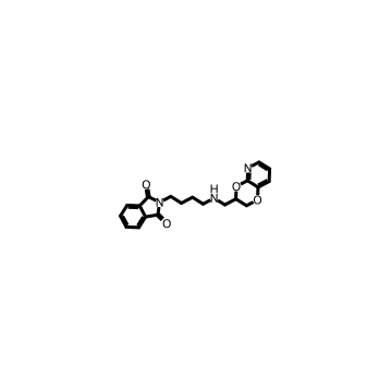 O=C1c2ccccc2C(=O)N1CCCCNCC1COc2cccnc2O1